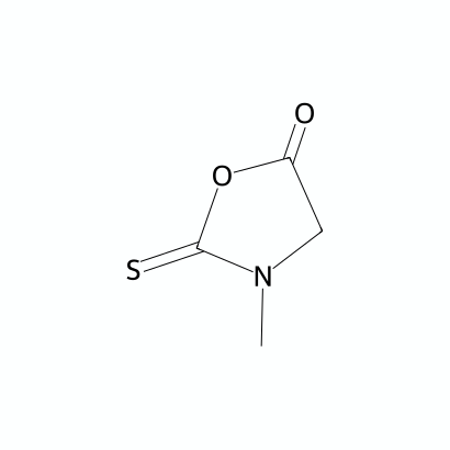 CN1CC(=O)OC1=S